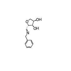 O[C@@H]1[C@H](O)CO[C@H]1/C=N/Cc1ccccc1